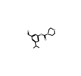 CC(C)c1cc(C=O)cc(OC(=O)N2CCOCC2)c1